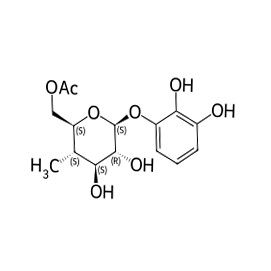 CC(=O)OC[C@H]1O[C@@H](Oc2cccc(O)c2O)[C@H](O)[C@@H](O)[C@@H]1C